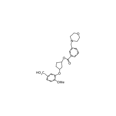 COc1ccc(C(=O)O)cc1OC1CCC(OC(=O)c2cccc(CN3CCOCC3)c2)C1